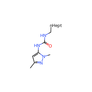 CCCCCCCCNC(=O)Nc1cc(C)nn1C